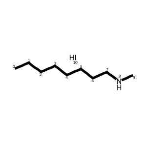 CCCCCCCCNC.I